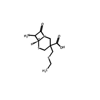 CCSCC1(C(=O)O)CS[C@@H]2C(N)C(=O)N2C1